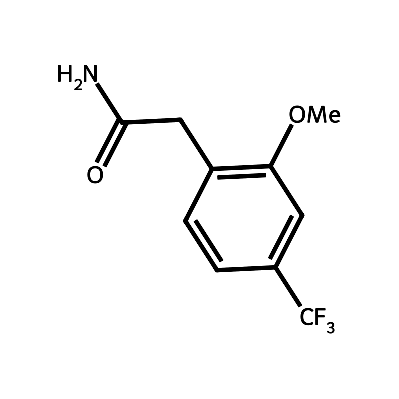 COc1cc(C(F)(F)F)ccc1CC(N)=O